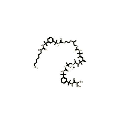 C=C(/C=C(\C)C(C)(C)NC(=O)OCC(C)OCCOC(=O)NC(C)(C)c1cccc(C(C)(C)NC(=O)NCCCCCCN)c1)C(C)(C)NC(=O)OCC(C)(OC(=O)NC(C)(C)c1cccc(C(C)(C)NC(=O)N(CCCC)CCCC)c1)C(=O)O